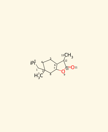 CC(C)CC1(C)CCC2C(C1)OC(=O)C2C